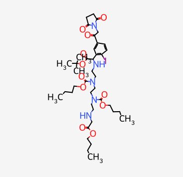 CCCCOC(=O)CNCCN(CCN(CCNC(C(=O)OC(C)(C)C)c1cc(C(=O)CN2C(=O)CCC2=O)ccc1I)C(=O)OCCCC)C(=O)OCCCC